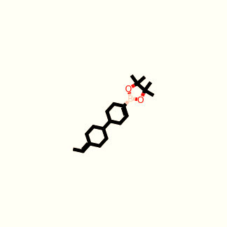 CC=C1CCC(C2CC=C(B3OC(C)(C)C(C)(C)O3)CC2)CC1